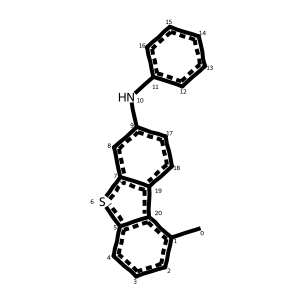 Cc1cccc2sc3cc(Nc4ccccc4)ccc3c12